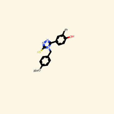 COc1ccc(Cn2c(S)nnc2-c2ccc(O)c(C(C)C)c2)cc1